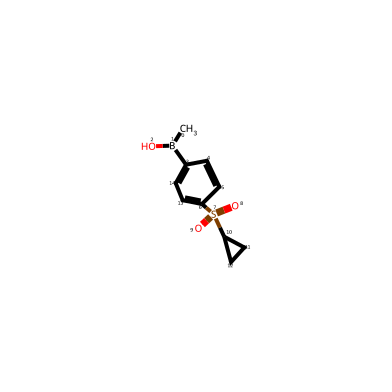 CB(O)c1ccc(S(=O)(=O)C2CC2)cc1